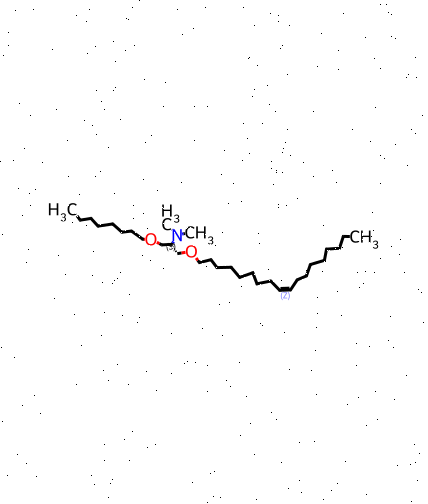 CCCCCCCC/C=C\CCCCCCCCOC[C@H](COCCCCCCCC)N(C)C